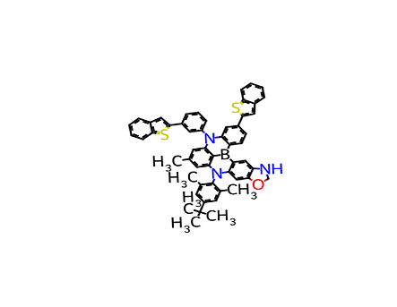 Cc1cc2c3c(c1)N(c1c(C)cc(C(C)(C)C)cc1C)c1cc4c(cc1B3c1ccc(-c3cc5ccccc5s3)cc1N2c1cccc(-c2cc3ccccc3s2)c1)NCO4